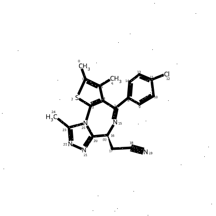 Cc1sc2c(c1C)C(c1ccc(Cl)cc1)=N[C@@H](CC#N)c1nnc(C)n1-2